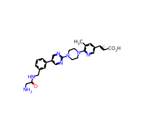 Cc1cc(/C=C/C(=O)O)cnc1N1CCN(c2ncc(-c3cccc(CNC(=O)CN)c3)cn2)CC1